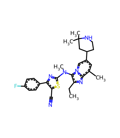 CCc1nc2c(C)cc(C3CCNC(C)(C)C3)cn2c1N(C)c1nc(-c2ccc(F)cc2)c(C#N)s1